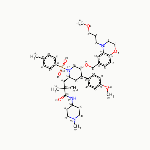 COCCCN1CCOc2ccc(CO[C@H]3CN(S(=O)(=O)c4ccc(C)cc4)[C@H](CC(C)(C)C(=O)NC4CCN(C)CC4)C[C@@H]3c3ccc(OC)cc3)cc21